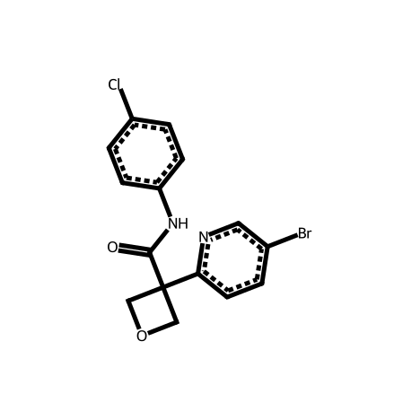 O=C(Nc1ccc(Cl)cc1)C1(c2ccc(Br)cn2)COC1